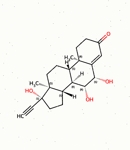 C#C[C@]1(O)CC[C@H]2[C@@H]3[C@@H](O)[C@@H](O)C4=CC(=O)CC[C@]4(C)[C@H]3CC[C@@]21C